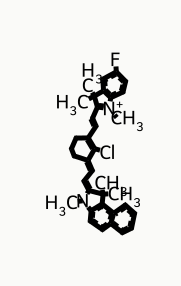 CN1/C(=C/C=C2\CCCC(/C=C/C3=[N+](C)c4ccc(F)cc4C3(C)C)=C2Cl)C(C)(C)c2c1ccc1ccccc21